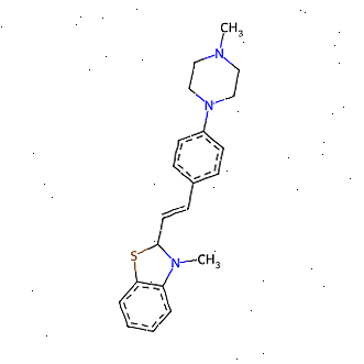 CN1CCN(c2ccc(/C=C/C3Sc4ccccc4N3C)cc2)CC1